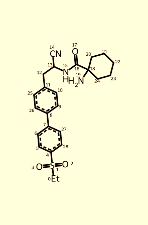 CCS(=O)(=O)c1ccc(-c2ccc(CC(C#N)NC(=O)C3(N)CCCCC3)cc2)cc1